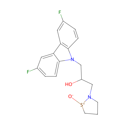 [O-][S+]1CCCN1CC(O)Cn1c2ccc(F)cc2c2cc(F)ccc21